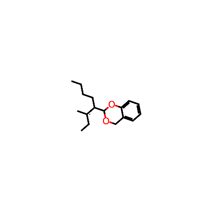 CCCCC([C](C)CC)C1OCc2ccccc2O1